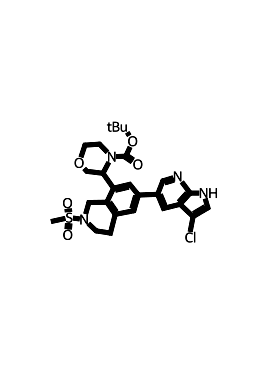 CC(C)(C)OC(=O)N1CCOCC1c1cc(-c2cnc3[nH]cc(Cl)c3c2)cc2c1CN(S(C)(=O)=O)CC2